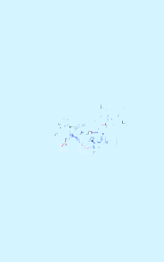 CC(=O)N[C@@H](CCN1[C@@H]2CC[C@H]1C[C@@H](n1c(C)nc3c1CCN(C(=O)C(C)C)C3)C2)c1ccc(Cl)s1